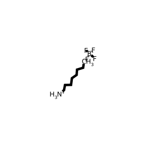 CCCCCCCC[NH3+].F[B-](F)(F)F